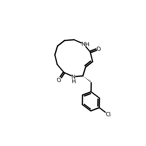 O=C1/C=C/[C@H](Cc2cccc(Cl)c2)NC(=O)CCCCCN1